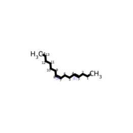 CCC/C=C/CC/C=C\CCCCCC